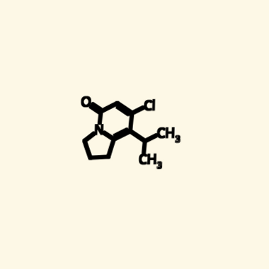 CC(C)c1c(Cl)cc(=O)n2c1CCC2